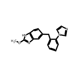 COc1nc2cc(Cc3ccccc3-n3ccnc3)ccc2[nH]1